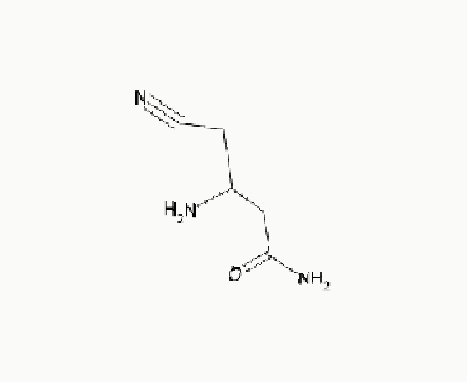 N#CCC(N)CC(N)=O